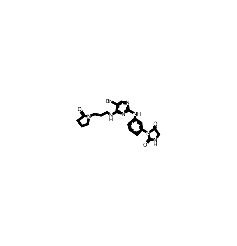 O=C1CCCN1CCCNc1nc(Nc2cccc(N3C(=O)CNC3=O)c2)ncc1Br